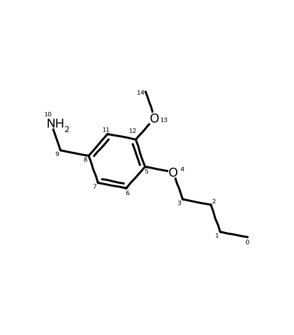 CCCCOc1ccc(CN)cc1OC